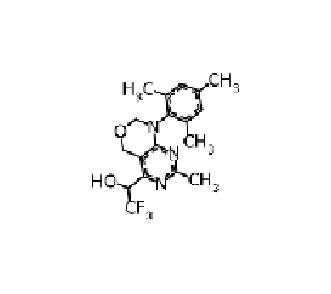 Cc1cc(C)c(N2COCc3c(C(O)C(F)(F)F)nc(C)nc32)c(C)c1